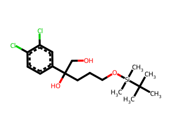 CC(C)(C)[Si](C)(C)OCCCC(O)(CO)c1ccc(Cl)c(Cl)c1